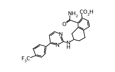 NC(=O)c1c(C(=O)O)ccc2c1CC(Nc1nccc(-c3ccc(C(F)(F)F)cc3)n1)CC2